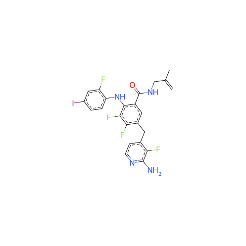 C=C(C)CNC(=O)c1cc(Cc2ccnc(N)c2F)c(F)c(F)c1Nc1ccc(I)cc1F